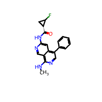 CNc1ncc(-c2ccccc2)c2cc(NC(=O)[C@@H]3CC3F)ncc12